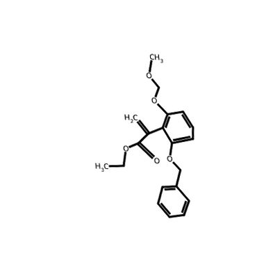 C=C(C(=O)OCC)c1c(OCOC)cccc1OCc1ccccc1